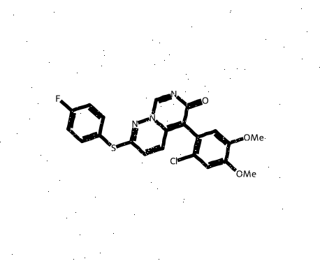 COc1cc(Cl)c(-c2c(=O)ncn3nc(Sc4ccc(F)cc4)ccc23)cc1OC